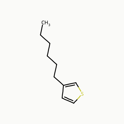 CCCCCCc1ccsc1